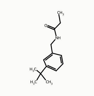 CCC(=O)NCc1cccc(C(C)(C)C)c1